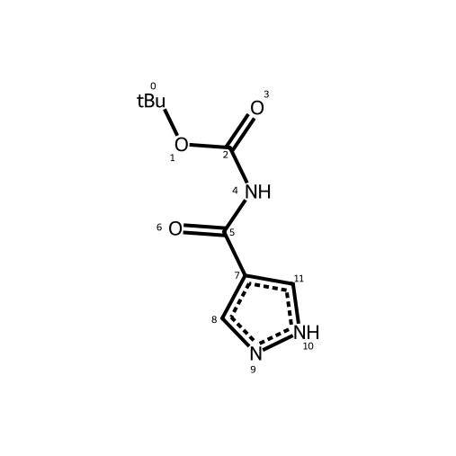 CC(C)(C)OC(=O)NC(=O)c1cn[nH]c1